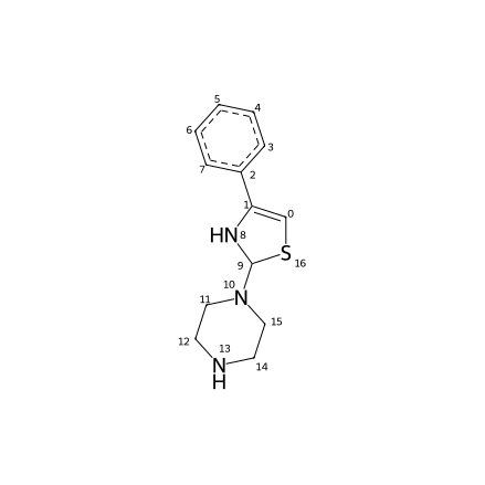 C1=C(c2ccccc2)NC(N2CCNCC2)S1